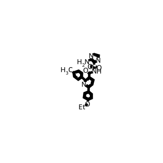 CCOc1ccc(-c2ccc(C(=O)NS(=O)(=O)c3nccnc3N)c(-c3ccc(C)cc3)n2)cc1